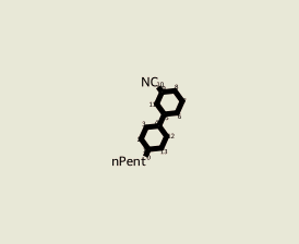 CCCCCC1CCC(C2CCCC(C#N)C2)CC1